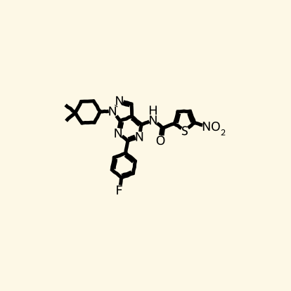 CC1(C)CCC(n2ncc3c(NC(=O)c4ccc([N+](=O)[O-])s4)nc(-c4ccc(F)cc4)nc32)CC1